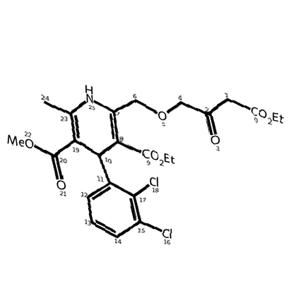 CCOC(=O)CC(=O)COCC1=C(C(=O)OCC)C(c2cccc(Cl)c2Cl)C(C(=O)OC)=C(C)N1